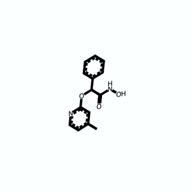 Cc1ccnc(OC(C(=O)NO)c2ccccc2)c1